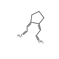 C=C/C=C1/CCC/C1=C/C=C